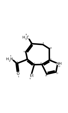 CC/C1=C(C(N)=O)/C=C(/C)CCc2[nH]ccc21